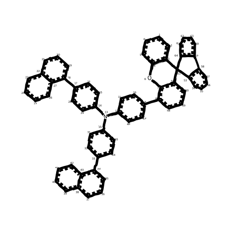 c1ccc2c(c1)Oc1c(-c3ccc(N(c4ccc(-c5cccc6ccccc56)cc4)c4ccc(-c5cccc6ccccc56)cc4)cc3)cccc1C21c2ccccc2-c2ccccc21